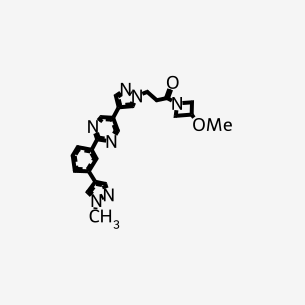 COC1CN(C(=O)CCn2cc(-c3cnc(-c4cccc(-c5cnn(C)c5)c4)nc3)cn2)C1